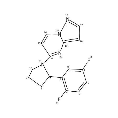 Fc1ccc(F)c(C2CCCN2c2ccn3nccc3n2)c1